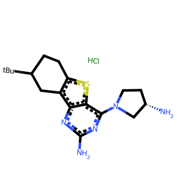 CC(C)(C)C1CCc2sc3c(N4CC[C@H](N)C4)nc(N)nc3c2C1.Cl